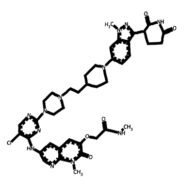 CNC(=O)COc1cc2cc(Nc3nc(N4CCN(CCC5CCN(c6ccc7c(C8CCC(=O)NC8=O)nn(C)c7c6)CC5)CC4)ncc3Cl)cnc2n(C)c1=O